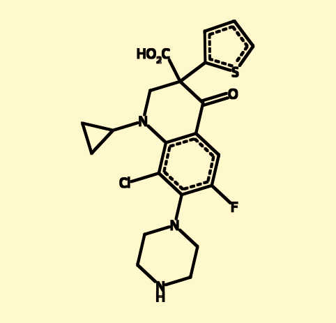 O=C(O)C1(c2cccs2)CN(C2CC2)c2c(cc(F)c(N3CCNCC3)c2Cl)C1=O